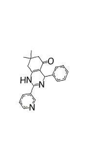 CC1(C)CC(=O)C2=C(C1)NC(c1cccnc1)=NC2c1ccccc1